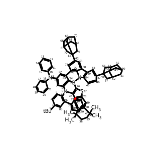 CC(C)(C)c1ccc(N2c3cc(N(c4ccccc4)c4ccccc4)cc4c3B(c3sc5cc6c(cc5c32)C(C)(C)CCC6(C)C)n2c3ccc(C56CC7CC(CC(C7)C5)C6)cc3c3cc(C56CC7CC(CC(C7)C5)C6)cc-4c32)c(-c2ccccc2)c1